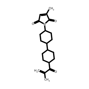 C=C(C)C(=O)C1CCC(C2CCC(N3C(=O)C=C(C)C3=O)CC2)CC1